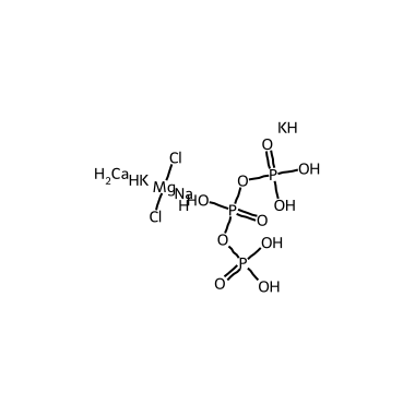 O=P(O)(O)OP(=O)(O)OP(=O)(O)O.[CaH2].[Cl][Mg][Cl].[KH].[KH].[NaH]